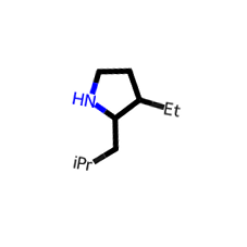 CCC1CCNC1CC(C)C